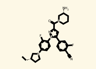 CC[C@H]1CCN(c2ccc(-n3nc(C(=O)N4CCC[C@@H](N)C4)cc3-c3ccc(C#N)c(F)c3)c(F)c2)C1